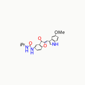 COc1ccc2[nH]cc(/C=C3\Oc4ccc(NC(=O)NC(C)C)cc4C3=O)c2c1